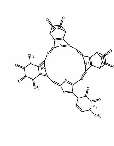 C=C1C(=O)C(=O)C(C)c2c1c1cc3nc(nc4[nH]c(cc5nc(nc2[nH]1)C1=C5C2C=CC1C(=O)C2=O)c1c4C2C=CC1C(=O)C2=O)C(C(/C=C\C(C)C)C(=O)C=O)=C3